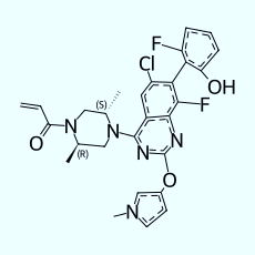 C=CC(=O)N1C[C@H](C)N(c2nc(Oc3ccn(C)c3)nc3c(F)c(-c4c(O)cccc4F)c(Cl)cc23)C[C@H]1C